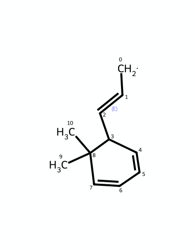 [CH2]/C=C/C1C=CC=CC1(C)C